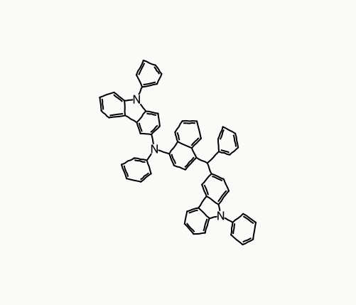 c1ccc(C(c2ccc3c(c2)c2ccccc2n3-c2ccccc2)c2ccc(N(c3ccccc3)c3ccc4c(c3)c3ccccc3n4-c3ccccc3)c3ccccc23)cc1